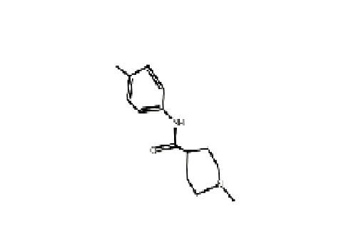 Cc1ccc(NC(=O)C2CCN(C)CC2)cc1